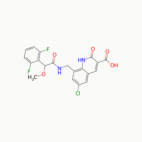 COC(C(=O)NCc1cc(Cl)cc2cc(C(=O)O)c(=O)[nH]c12)c1c(F)cccc1F